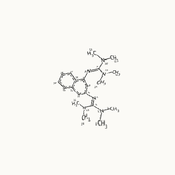 CN(C)C(=Nc1cc(N=C(N(C)C)N(C)C)c2ccccc2c1)N(C)C